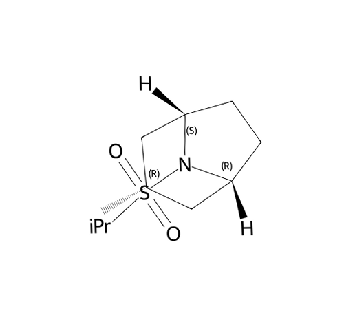 CC(C)S(=O)(=O)N1[C@@H]2CC[C@H]1C[C@@H](C)C2